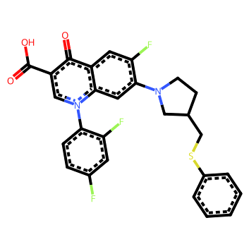 O=C(O)c1cn(-c2ccc(F)cc2F)c2cc(N3CCC(CSc4ccccc4)C3)c(F)cc2c1=O